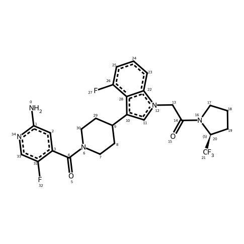 Nc1cc(C(=O)N2CCC(c3cn(CC(=O)N4CCC[C@H]4C(F)(F)F)c4cccc(F)c34)CC2)c(F)cn1